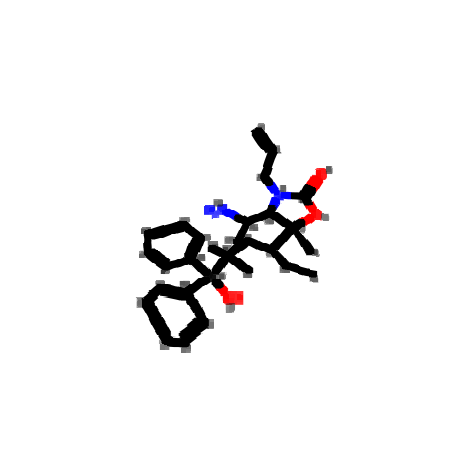 C=CCN1C(=O)O[C@](C)([C@@H](CC)CC(C)(C)[Si](O)(c2ccccc2)c2ccccc2)[C@H]1[C@@H](C)N